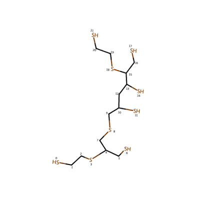 SCCSC(CS)CSCC(S)CC(S)C(CS)SCCS